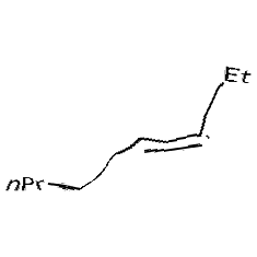 [CH2]CCC/C=[C]/CC